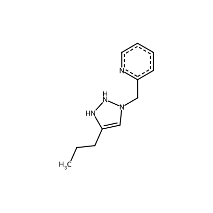 CCCC1=CN(Cc2ccccn2)NN1